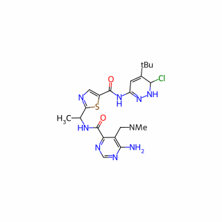 CNCc1c(N)ncnc1C(=O)NC(C)c1ncc(C(=O)NC2=NNC(Cl)C(C(C)(C)C)=C2)s1